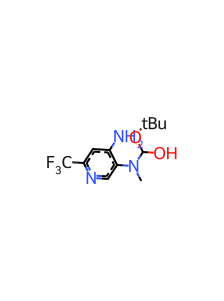 CN(c1cnc(C(F)(F)F)cc1N)C(O)OC(C)(C)C